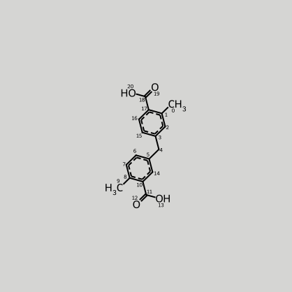 Cc1cc(Cc2ccc(C)c(C(=O)O)c2)ccc1C(=O)O